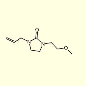 C=CCN1CCN(CCOC)C1=O